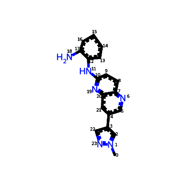 Cn1cc(-c2cnc3ccc(Nc4ccccc4N)nc3c2)cn1